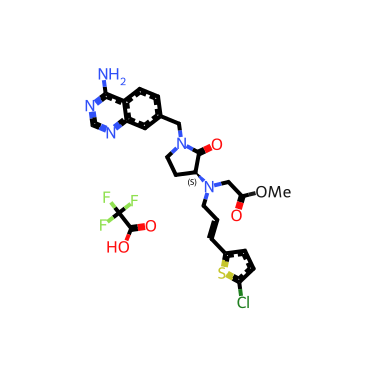 COC(=O)CN(CC=Cc1ccc(Cl)s1)[C@H]1CCN(Cc2ccc3c(N)ncnc3c2)C1=O.O=C(O)C(F)(F)F